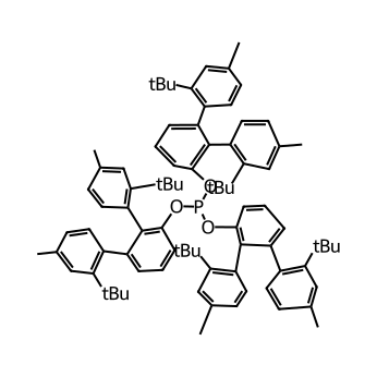 Cc1ccc(-c2cccc(OP(Oc3cccc(-c4ccc(C)cc4C(C)(C)C)c3-c3ccc(C)cc3C(C)(C)C)Oc3cccc(-c4ccc(C)cc4C(C)(C)C)c3-c3ccc(C)cc3C(C)(C)C)c2-c2ccc(C)cc2C(C)(C)C)c(C(C)(C)C)c1